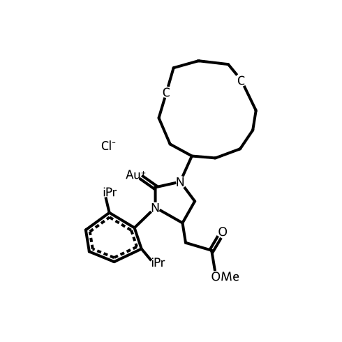 COC(=O)CC1CN(C2CCCCCCCCCCC2)[C](=[Au+])N1c1c(C(C)C)cccc1C(C)C.[Cl-]